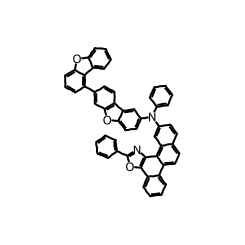 c1ccc(-c2nc3c(o2)c2ccccc2c2ccc4ccc(N(c5ccccc5)c5ccc6oc7cc(-c8cccc9oc%10ccccc%10c89)ccc7c6c5)cc4c23)cc1